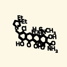 CCC1(CC)CCN(Cc2cc(O)c3c(c2Cl)C[C@H]2C[C@H]4[C@H](N(C)C)C(O)=C(C(N)=O)C(=O)[C@@]4(O)C(O)=C2C3=O)C1